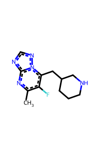 Cc1nc2ncnn2c(CC2CCCNC2)c1F